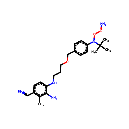 Cc1c(C=N)ccc(NCCCOCc2ccc(N(OON)C(C)(C)C)cc2)c1N